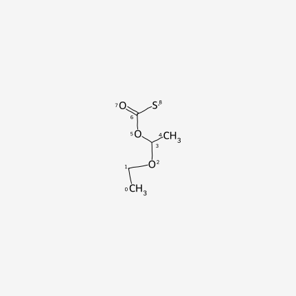 CCOC(C)OC(=O)[S]